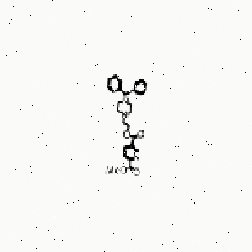 COC(=O)c1ccc(C(=O)OCCN2CCN(C(c3ccccc3)c3ccccc3)CC2)cn1